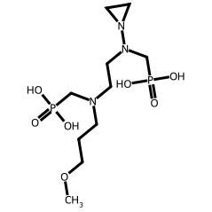 COCCCN(CCN(CP(=O)(O)O)N1CC1)CP(=O)(O)O